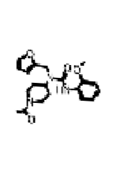 COc1ccccc1NC(=O)N(Cc1ccco1)C1CCN(C(C)=O)CC1